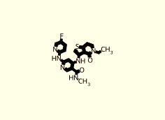 CCn1ccc2scc(Nc3cc(Nc4ccc(F)cn4)ncc3C(=O)NC)c2c1=O